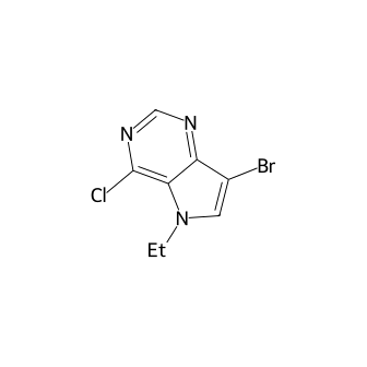 CCn1cc(Br)c2ncnc(Cl)c21